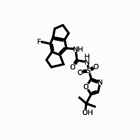 CC(C)(O)c1cnc(S(=O)(=O)NC(=O)Nc2c3c(c(F)c4c2CCC4)CCC3)o1